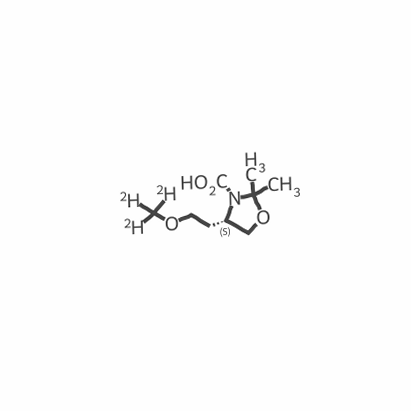 [2H]C([2H])([2H])OCC[C@H]1COC(C)(C)N1C(=O)O